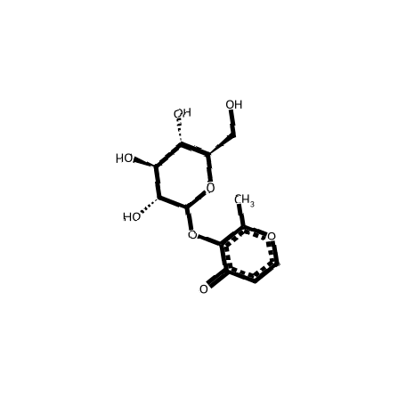 Cc1occc(=O)c1OC1O[C@H](CO)[C@@H](O)[C@H](O)[C@H]1O